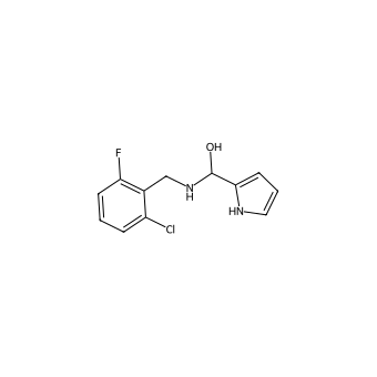 OC(NCc1c(F)cccc1Cl)c1ccc[nH]1